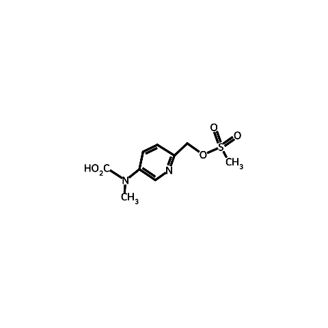 CN(C(=O)O)c1ccc(COS(C)(=O)=O)nc1